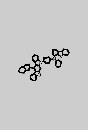 c1ccc(N(c2ccc(-n3c4ccccc4c4c(-c5ccc6ccccc6c5)c5c(cc43)oc3ccccc35)cc2)c2cccc3c2sc2ccccc23)cc1